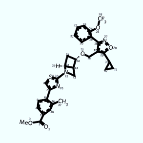 COC(=O)c1ccc(-c2csc(N3CC4[C@@H](OCc5c(-c6ccccc6OC(F)(F)F)noc5C5CC5)C[C@@H]43)n2)c(C)c1